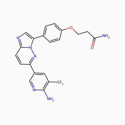 NC(=O)CCOc1ccc(-c2cnc3ccc(-c4cnc(N)c(C(F)(F)F)c4)nn23)cc1